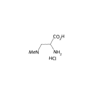 CNCC(N)C(=O)O.Cl